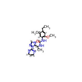 CCc1cc(OC)c(NC(=O)NC(C)c2ncnn2-c2ncccn2)cc1C